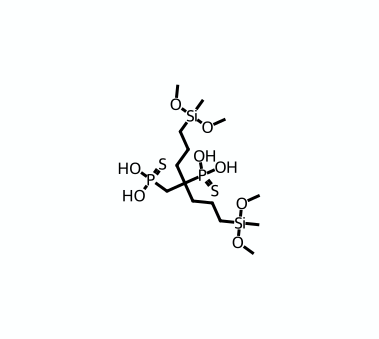 CO[Si](C)(CCCC(CCC[Si](C)(OC)OC)(CP(O)(O)=S)P(O)(O)=S)OC